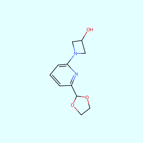 OC1CN(c2cccc(C3OCCO3)n2)C1